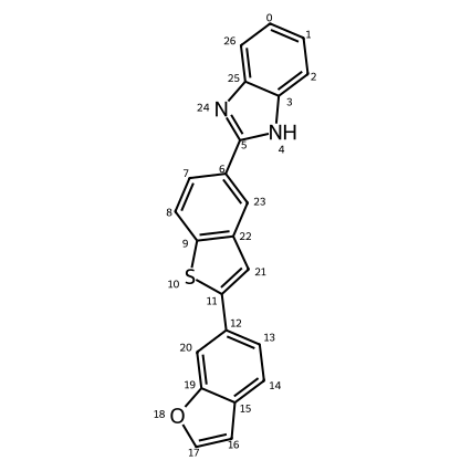 c1ccc2[nH]c(-c3ccc4sc(-c5ccc6ccoc6c5)cc4c3)nc2c1